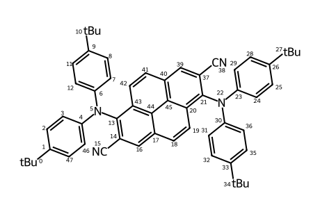 CC(C)(C)c1ccc(N(c2ccc(C(C)(C)C)cc2)c2c(C#N)cc3ccc4c(N(c5ccc(C(C)(C)C)cc5)c5ccc(C(C)(C)C)cc5)c(C#N)cc5ccc2c3c54)cc1